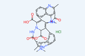 Cc1nc2ccc3cc2c(N(C)C)c1C(=O)NC1=C2c4ccc5nc(C)c(c(N(C)C)c5c4)C(=O)NN(C(C(=O)O)=C13)C2C(=O)O.Cl